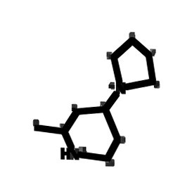 CC1CC(N2CCCC2)CCN1